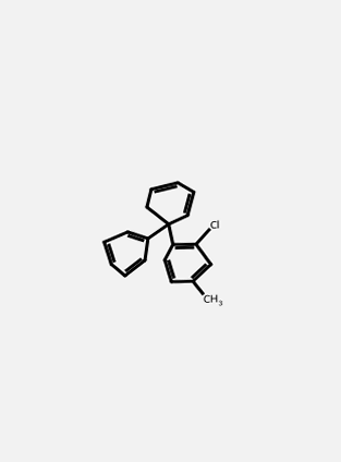 Cc1ccc(C2(c3ccccc3)C=CC=CC2)c(Cl)c1